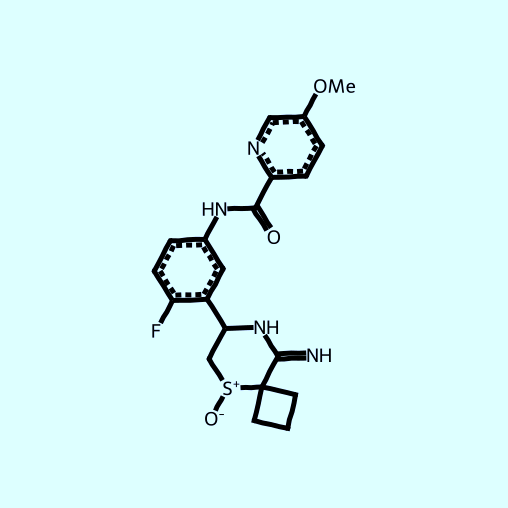 COc1ccc(C(=O)Nc2ccc(F)c(C3C[S+]([O-])C4(CCC4)C(=N)N3)c2)nc1